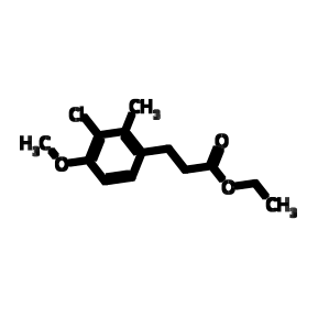 CCOC(=O)CCc1ccc(OC)c(Cl)c1C